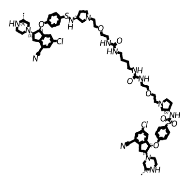 C[C@@H]1CN([C@H]2Cc3c(C#N)cc(Cl)cc3[C@@H]2Oc2ccc(SN[C@H]3CCN(CCOCCNC(=O)NCCCCNC(=O)NCCOCCN4CC[C@H](NS(=O)(=O)c5ccc(O[C@H]6c7cc(Cl)cc(C#N)c7C[C@@H]6N6CCN[C@H](C)C6)cc5)C4)C3)cc2)CCN1